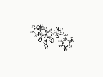 O=C1c2c(O)c(=O)c(-c3ncc(Cc4ccc(F)cc4F)s3)cn2C[C@@H]2OCCCN12